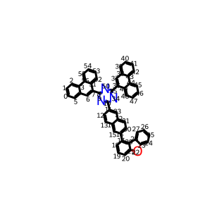 c1ccc2c(c1)cc(-c1nc(-c3ccc4cc(-c5cccc6oc7ccccc7c56)ccc4c3)nc(-c3cc4ccccc4c4ccccc34)n1)c1ccccc12